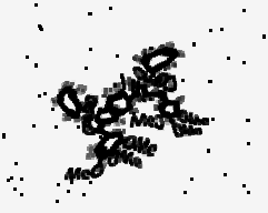 COc1cc(C(=O)c2nc(-c3ccc4c(c3)cc(C(=O)c3cc(OC)c(OC)c(OC)c3)n4S(=O)(=O)c3ccccc3)[nH]c2S(=O)(=O)c2ccccc2)cc(OC)c1OC